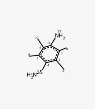 Cc1c(C)c(SN)c(C)c(C)c1N